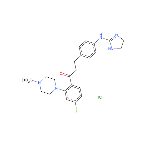 CCOC(=O)N1CCN(c2cc(F)ccc2C(=O)CCc2ccc(NC3=NCCN3)cc2)CC1.Cl